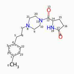 Cc1ccc(CCCN2CCN(C(=O)C3CCC(=O)N3)CC2)cc1